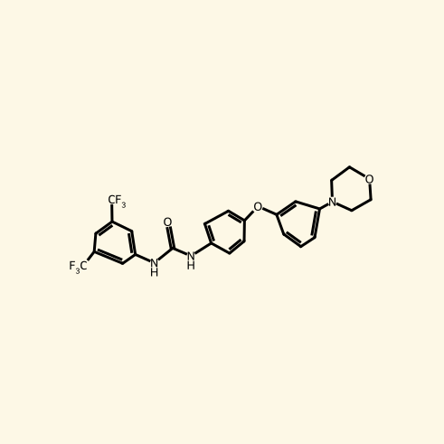 O=C(Nc1ccc(Oc2cccc(N3CCOCC3)c2)cc1)Nc1cc(C(F)(F)F)cc(C(F)(F)F)c1